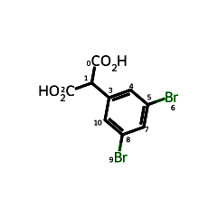 O=C(O)C(C(=O)O)c1cc(Br)cc(Br)c1